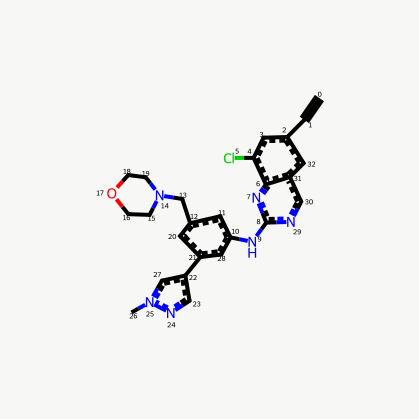 C#Cc1cc(Cl)c2nc(Nc3cc(CN4CCOCC4)cc(-c4cnn(C)c4)c3)ncc2c1